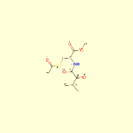 COC(=O)C(CSC(C)=O)NC(=O)C(=O)C(C)C